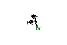 BrCCCCCC[c-]1cccc1.[Fe+2].c1cc[cH-]c1